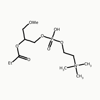 CCC(=O)OC(COC)COP(=O)(O)OCC[N+](C)(C)C